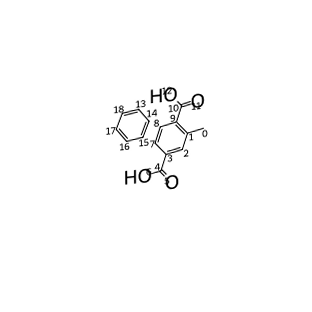 Cc1cc(C(=O)O)ccc1C(=O)O.c1ccccc1